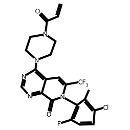 C=CC(=O)N1CCN(c2ncnc3c(=O)n(-c4c(F)ccc(Cl)c4C)c(C(F)(F)F)cc23)CC1